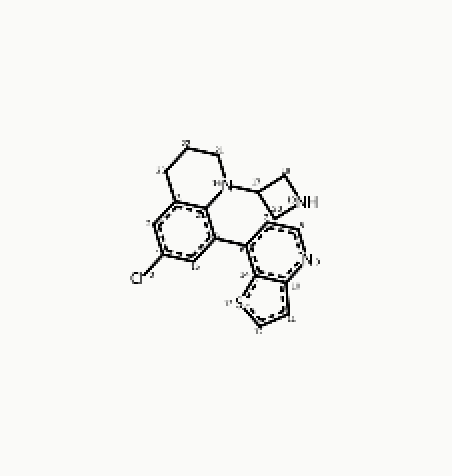 Clc1cc2c(c(-c3ccnc4ccsc34)c1)N(C1CNC1)CCC2